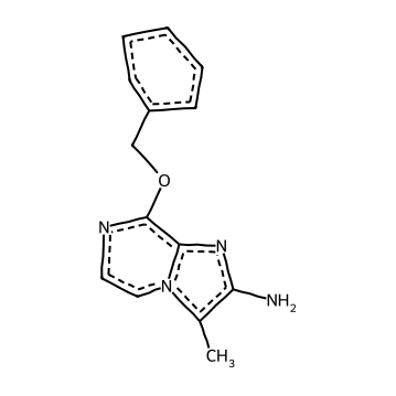 Cc1c(N)nc2c(OCc3ccccc3)nccn12